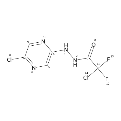 O=C(NNc1cnc(Cl)cn1)C(F)(F)Cl